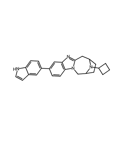 c1cc2cc(-c3ccc4c(c3)nc3n4CC4CCC(C3)N4C3CCC3)ccc2[nH]1